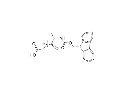 CC(NC(=O)OCC1c2ccccc2-c2ccccc21)C(=O)[15NH]CC(=O)O